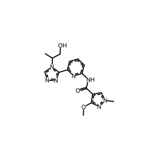 COc1nn(C)cc1C(=O)Nc1cccc(-c2nncn2C(C)CO)n1